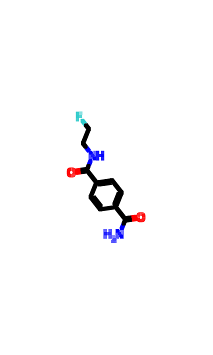 NC(=O)c1ccc(C(=O)NCCF)cc1